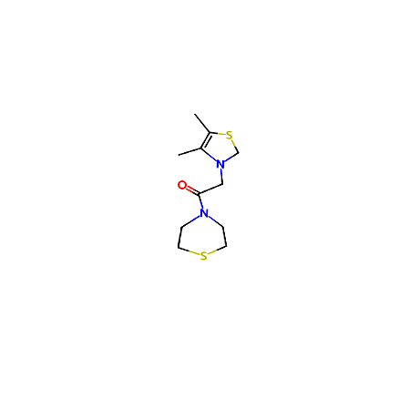 CC1=C(C)N(CC(=O)N2CCSCC2)CS1